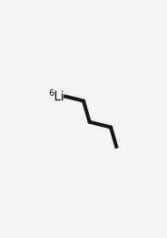 [6Li][CH2]CCC